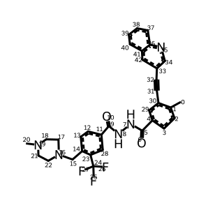 Cc1ccc(C(=O)NNC(=O)c2ccc(CN3CCN(C)CC3)c(C(F)(F)F)c2)cc1C#Cc1cnc2ccccc2c1